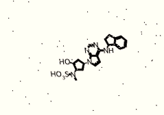 CN([C@@H]1C[C@@H](n2ccc3c(N[C@H]4CCc5ccccc54)ncnc32)C[C@@H]1O)S(=O)(=O)O